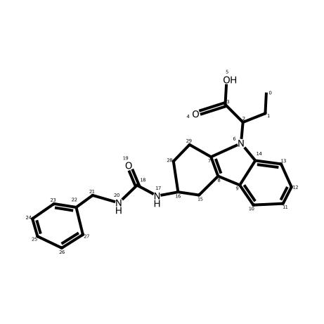 CCC(C(=O)O)n1c2c(c3ccccc31)CC(NC(=O)NCc1ccccc1)CC2